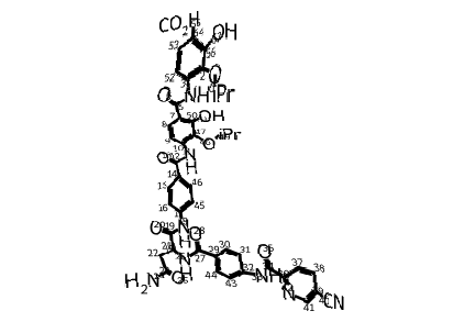 CC(C)Oc1c(NC(=O)c2ccc(NC(=O)c3ccc(NC(=O)[C@H](CC(N)=O)NC(=O)c4ccc(NC(=O)c5ccc(C#N)cn5)cc4)cc3)c(OC(C)C)c2O)ccc(C(=O)O)c1O